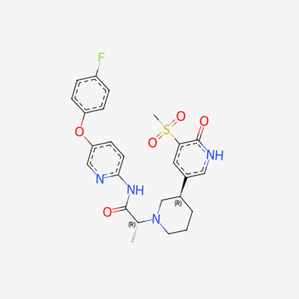 C[C@H](C(=O)Nc1ccc(Oc2ccc(F)cc2)cn1)N1CCC[C@H](c2c[nH]c(=O)c(S(C)(=O)=O)c2)C1